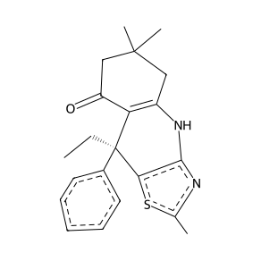 CC[C@]1(c2ccccc2)C2=C(CC(C)(C)CC2=O)Nc2nc(C)sc21